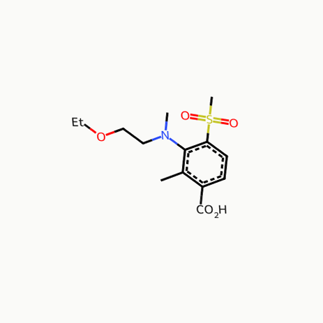 CCOCCN(C)c1c(S(C)(=O)=O)ccc(C(=O)O)c1C